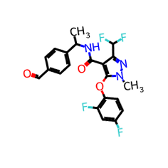 CC(NC(=O)c1c(C(F)F)nn(C)c1Oc1ccc(F)cc1F)c1ccc(C=O)cc1